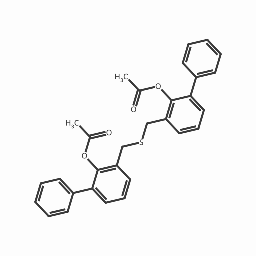 CC(=O)Oc1c(CSCc2cccc(-c3ccccc3)c2OC(C)=O)cccc1-c1ccccc1